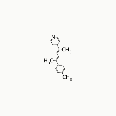 C/C(=C\C=C(/C)c1ccc(C)cc1)c1ccncc1